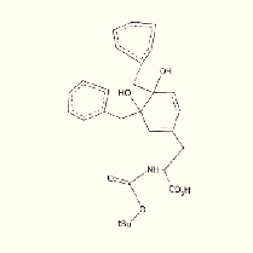 CC(C)(C)OC(=O)NC(CC1=CC(O)(Cc2ccccc2)C(O)(Cc2ccccc2)C=C1)C(=O)O